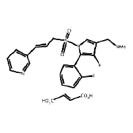 CNCc1cn(S(=O)(=O)CC=Cc2cccnc2)c(-c2ccccc2F)c1F.O=C(O)/C=C/C(=O)O